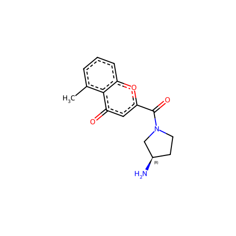 Cc1cccc2oc(C(=O)N3CC[C@@H](N)C3)cc(=O)c12